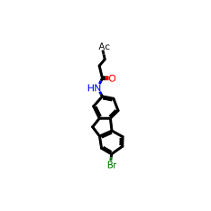 CC(=O)CCC(=O)Nc1ccc2c(c1)Cc1cc(Br)ccc1-2